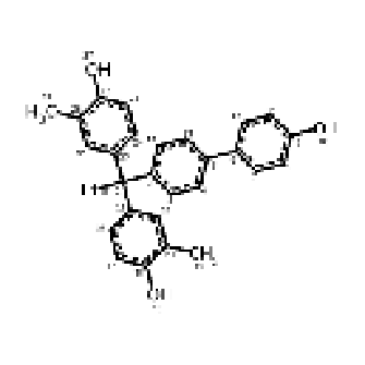 CCC(c1ccc(-c2ccc(O)cc2)cc1)(c1ccc(O)c(C)c1)c1ccc(O)c(C)c1